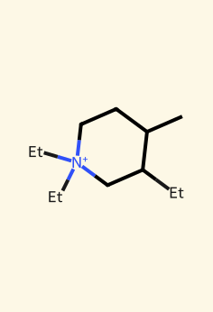 CCC1C[N+](CC)(CC)CCC1C